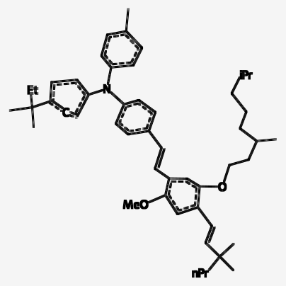 CCCC(C)(C)C=Cc1cc(OC)c(C=Cc2ccc(N(c3ccc(C)cc3)c3ccc(C(C)(C)CC)cc3)cc2)cc1OCCC(C)CCCC(C)C